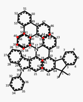 CC1(C)c2ccccc2-c2c(-c3ccccc3N(c3cccc4c3c3ccccc3n4-c3ccccc3)C3C=CC=CC3c3ccccc3-c3ccccc3-c3ccccc3)cccc21